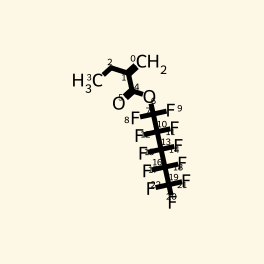 C=C(CC)C(=O)OC(F)(F)C(F)(F)C(F)(F)C(F)(F)C(F)(F)F